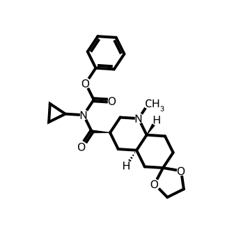 CN1C[C@H](C(=O)N(C(=O)Oc2ccccc2)C2CC2)C[C@@H]2CC3(CC[C@H]21)OCCO3